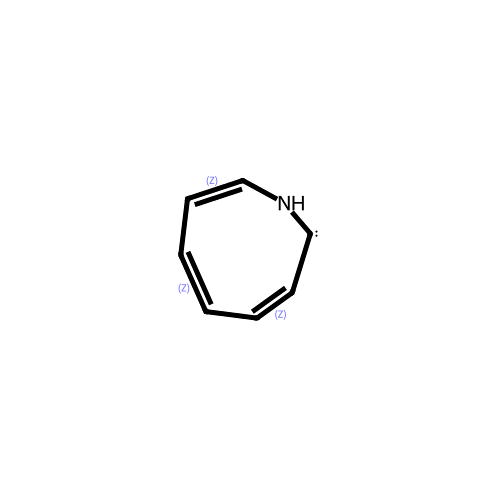 [C]1\C=C/C=C\C=C/N1